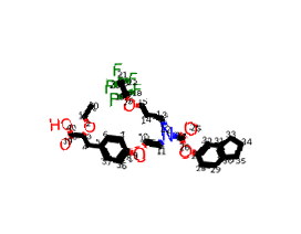 CCOC(Cc1ccc(OCCN(CCCOC(F)(F)C(F)(F)F)C(=O)Oc2ccc3c(c2)CCC3)cc1)C(=O)O